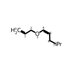 C=CCO/C=C\CC(C)C